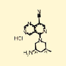 C[C@H]1C[C@@H](N)CN(c2ncc(C#N)c3ncncc23)C1.Cl